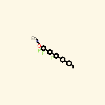 C=CC1CCC(C2CC=C(c3ccc(-c4ccc(-c5ccc(OC/C=C/CC)c(F)c5F)cc4)c(F)c3)CC2)CC1